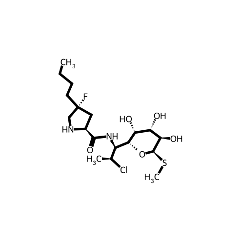 CCCC[C@]1(F)CN[C@H](C(=O)N[C@@H]([C@H]2O[C@H](SC)[C@H](O)[C@@H](O)[C@H]2O)[C@H](C)Cl)C1